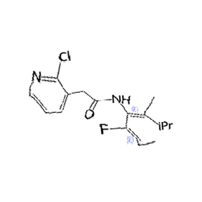 C/C=C(F)\C(NC(=O)Cc1cccnc1Cl)=C(\C)C(C)C